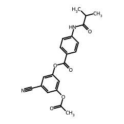 CC(=O)Oc1cc(C#N)cc(OC(=O)c2ccc(NC(=O)C(C)C)cc2)c1